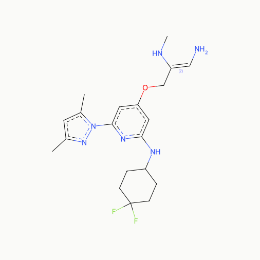 CN/C(=C\N)COc1cc(NC2CCC(F)(F)CC2)nc(-n2nc(C)cc2C)c1